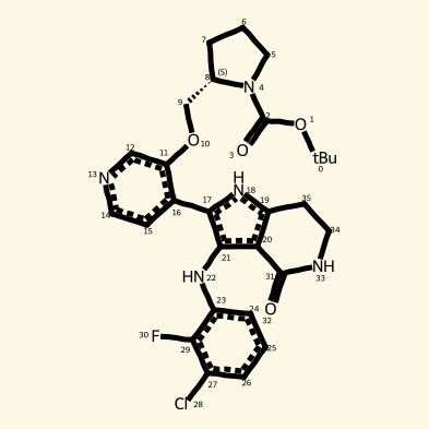 CC(C)(C)OC(=O)N1CCC[C@H]1COc1cnccc1-c1[nH]c2c(c1Nc1cccc(Cl)c1F)C(=O)NCC2